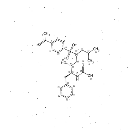 CC(=O)c1ccc(S(=O)(=O)N(CC(C)C)C[C@@H](O)[C@H](Cc2ccccc2)NC(=O)O)cc1